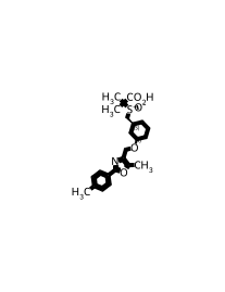 Cc1ccc(-c2nc(CO[C@@H]3CCC[C@H](C[S+]([O-])C(C)(C)C(=O)O)C3)c(C)o2)cc1